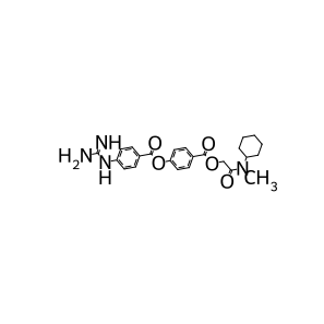 CN(C(=O)COC(=O)c1ccc(OC(=O)c2ccc(NC(=N)N)cc2)cc1)C1CCCCC1